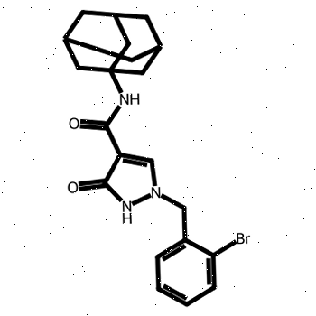 O=C(NC12CC3CC(CC(C3)C1)C2)c1cn(Cc2ccccc2Br)[nH]c1=O